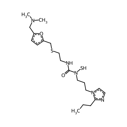 CCCc1nccn1CCCN(S)C(=O)NCCSCc1ccc(CN(C)C)o1